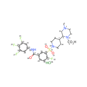 CN1CCN(C(=O)O)C(C2CCN(S(=O)(=O)c3cc(C(=O)Nc4cc(F)c(F)c(F)c4)ccc3F)CC2)C1.Cl